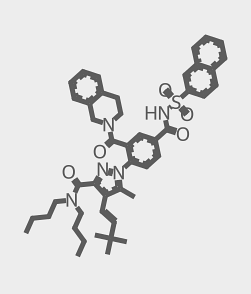 CCCCN(CCCC)C(=O)c1nn(-c2ccc(C(=O)NS(=O)(=O)c3ccc4ccccc4c3)cc2C(=O)N2CCc3ccccc3C2)c(C)c1/C=C/C(C)(C)C